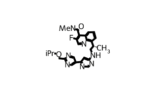 CNC(=O)c1c(F)cnc2c([C@H](C)CNc3cc(-c4cnc(COC(C)C)nc4)ncn3)cccc12